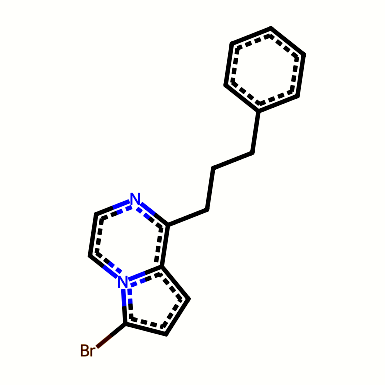 Brc1ccc2c(CCCc3ccccc3)nccn12